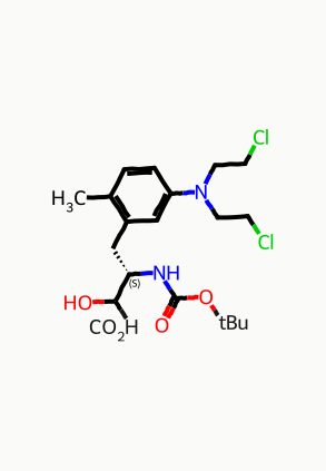 Cc1ccc(N(CCCl)CCCl)cc1C[C@H](NC(=O)OC(C)(C)C)C(O)C(=O)O